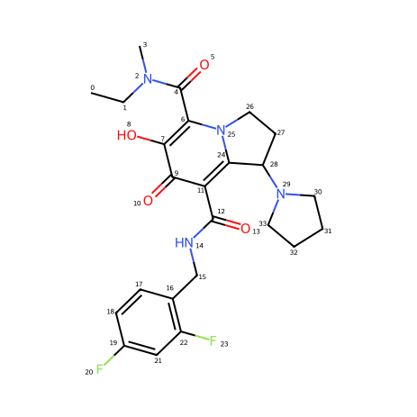 CCN(C)C(=O)c1c(O)c(=O)c(C(=O)NCc2ccc(F)cc2F)c2n1CCC2N1CCCC1